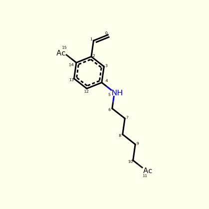 C=Cc1cc(NCCCCCC(C)=O)ccc1C(C)=O